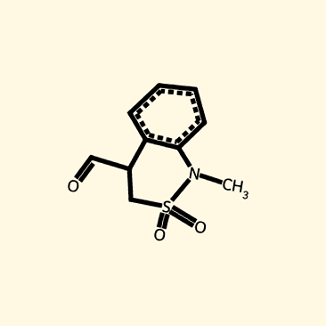 CN1c2ccccc2C(C=O)CS1(=O)=O